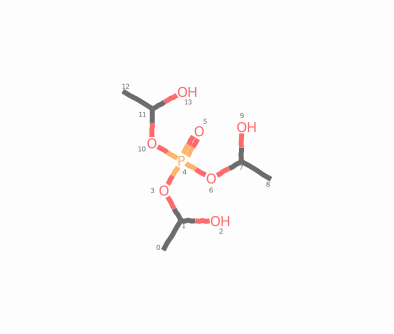 CC(O)OP(=O)(OC(C)O)OC(C)O